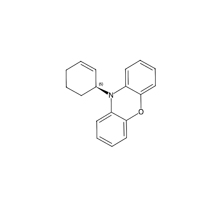 C1=C[C@@H](N2c3ccccc3Oc3ccccc32)CCC1